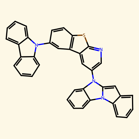 c1ccc2c(c1)cc1n(-c3cnc4sc5ccc(-n6c7ccccc7c7ccccc76)cc5c4c3)c3ccccc3n21